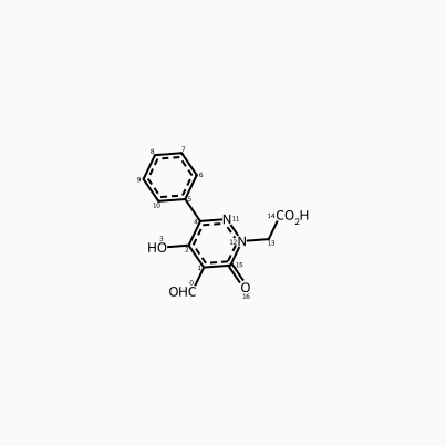 O=Cc1c(O)c(-c2ccccc2)nn(CC(=O)O)c1=O